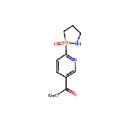 COC(=O)c1ccc([SH]2(=O)CCCN2)nc1